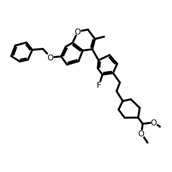 COC(OC)C1CCC(CCc2ccc(C3=C(C)COc4cc(OCc5ccccc5)ccc43)cc2F)CC1